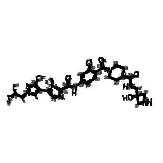 Cn1c(-c2cn(CC(F)F)nc2C(F)(F)F)cnc1C(=O)Nc1ccc(C(=O)N2CCN(C(=O)NCC3(O)CNC3)CC2)c(Cl)c1